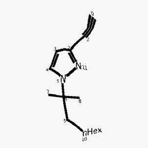 C#Cc1ccn(C(C)(C)CCCCCCC)n1